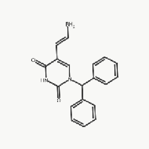 B/C=C/c1cn(C(c2ccccc2)c2ccccc2)c(=O)[nH]c1=O